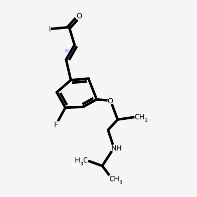 CC(C)NCC(C)Oc1cc(F)cc(/C=C/C(=O)I)c1